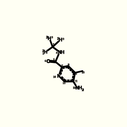 [2H]C([2H])([2H])NC(=O)c1cc(C)c(N)cn1